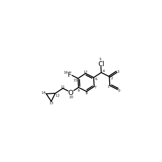 C=CC(=C)C(Cl)c1ccc(OCC2CC2)c(F)c1